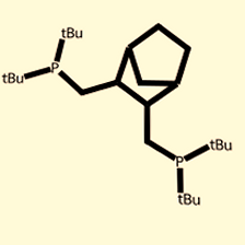 CC(C)(C)P(CC1C2CCC(C2)C1CP(C(C)(C)C)C(C)(C)C)C(C)(C)C